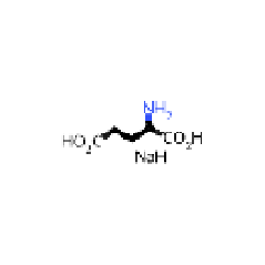 NC(CCC(=O)O)C(=O)O.[NaH]